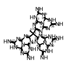 CC(C1=NC2=NC(=N)NC3=NC(=N)NC(=N1)N23)(C1=NC2=NC(=N)NC3=NC(=N)NC(=N1)N23)C1=NC2=NC(=N)NC3=NC(=N)NC(=N1)N23